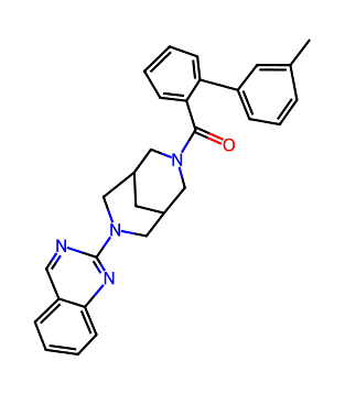 Cc1cccc(-c2ccccc2C(=O)N2CC3CC(C2)CN(c2ncc4ccccc4n2)C3)c1